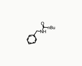 CCCCC(=O)NCc1ccccc1